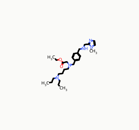 CCCN(CCC)CCCCN(CC(=O)OCC)Cc1ccc(CNCc2nccn2C)cc1